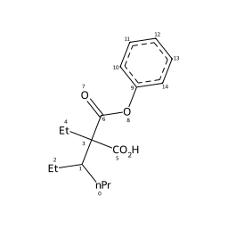 CCCC(CC)C(CC)(C(=O)O)C(=O)Oc1ccccc1